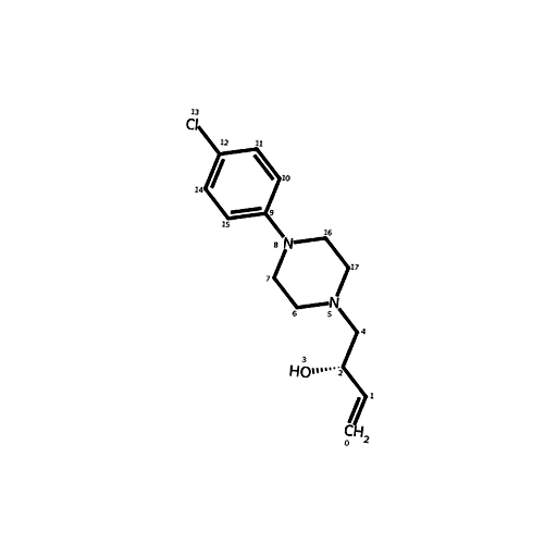 C=C[C@H](O)CN1CCN(c2ccc(Cl)cc2)CC1